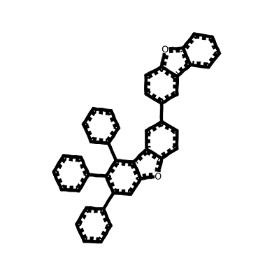 c1ccc(-c2cc3oc4ccc(-c5ccc6oc7ccccc7c6c5)cc4c3c(-c3ccccc3)c2-c2ccccc2)cc1